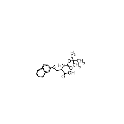 CC(C)(C)OC(=O)NC(CSc1ccc2ccccc2c1)C(=O)O